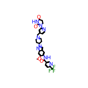 COc1cc2nn(C3CCN(Cc4ccnc(N5CCC(=O)NC5=O)c4)CC3)cc2cc1NC(=O)c1ccc(C(F)(F)F)nc1